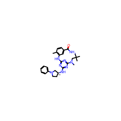 Cc1ccc(C(N)=O)cc1Nc1nc(N[C@H]2CCN(c3ccccc3)C2)nc(N(C)CC(C)(C)C)n1